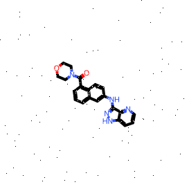 O=C(c1cccc2cc(Nc3n[nH]c4cccnc34)ccc12)N1CCOCC1